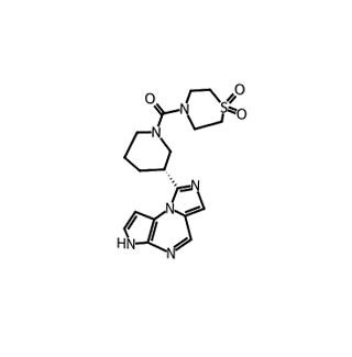 O=C(N1CCS(=O)(=O)CC1)N1CCC[C@@H](c2ncc3cnc4[nH]ccc4n23)C1